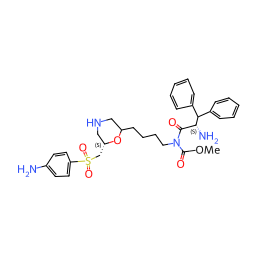 COC(=O)N(CCCCC1CNC[C@@H](CS(=O)(=O)c2ccc(N)cc2)O1)C(=O)[C@@H](N)C(c1ccccc1)c1ccccc1